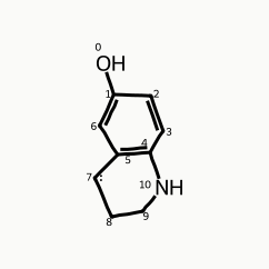 Oc1ccc2c(c1)[C]CCN2